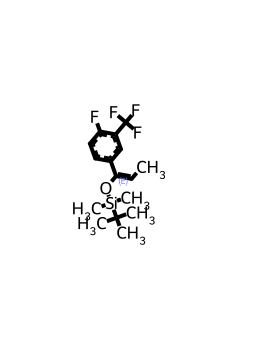 C/C=C(/O[Si](C)(C)C(C)(C)C)c1ccc(F)c(C(F)(F)F)c1